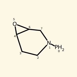 PN1CCC2OC2C1